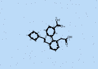 O=C(O)Cc1cccc(C=Cc2ccccc2)c1-c1cccc(C(=O)O)c1